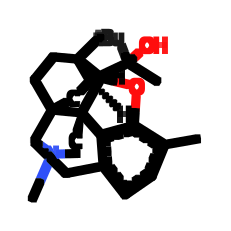 Cc1ccc2c3c1O[C@H]1C4(C)CCC5(C[C@@H]4C(C)(O)C(C)(C)C)C(C2)N(C)CC[C@]315